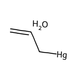 C=C[CH2][Hg].O